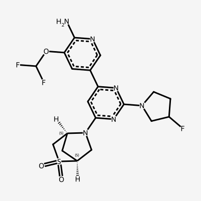 Nc1ncc(-c2cc(N3C[C@@H]4C[C@H]3CS4(=O)=O)nc(N3CCC(F)C3)n2)cc1OC(F)F